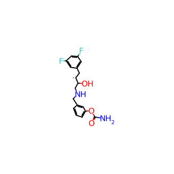 NC(=O)Oc1cccc(CNCC(O)[CH]Cc2cc(F)cc(F)c2)c1